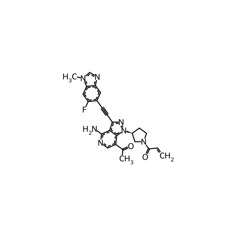 C=CC(=O)N1CC[C@H](n2nc(C#Cc3cc4ncn(C)c4cc3F)c3c(N)ncc(C(C)=O)c32)C1